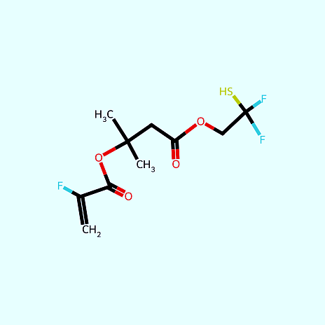 C=C(F)C(=O)OC(C)(C)CC(=O)OCC(F)(F)S